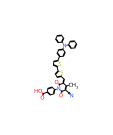 CC1=C(C#N)C(=O)N(c2ccc(C(=O)O)cc2)C(=O)C1=Cc1ccc(-c2ccc(-c3ccc(N(c4ccccc4)c4ccccc4)cc3)s2)s1